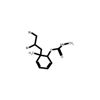 CNC(=O)OC1C=CC=CC1(C)CC(Br)CBr